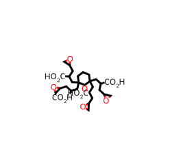 O=C(O)C(CC1CO1)CC1(CC(CC2CO2)C(=O)O)CCCC(CC(CC2CO2)C(=O)O)(CC(CC2CO2)C(=O)O)C1=O